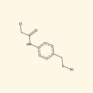 CC(=O)SCc1ccc(NC(=O)CCl)cc1